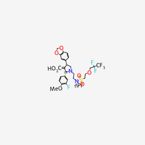 CCCN(CCN1CC(c2ccc3c(c2)OCO3)[C@H](C(=O)O)[C@H]1c1ccc(OC)c(F)c1)S(=O)(=O)CCOCC(F)(F)C(F)(F)F